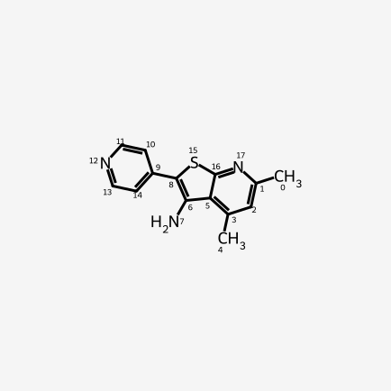 Cc1cc(C)c2c(N)c(-c3ccncc3)sc2n1